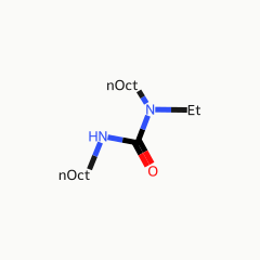 CCCCCCCCNC(=O)N(CC)CCCCCCCC